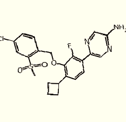 CS(=O)(=O)c1cc(Cl)ccc1COc1c(C2CCC2)ccc(-c2cnc(N)cn2)c1F